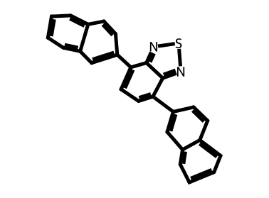 c1ccc2cc(-c3ccc(-c4ccc5ccccc5c4)c4nsnc34)ccc2c1